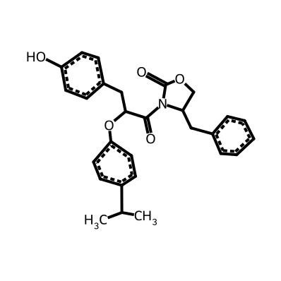 CC(C)c1ccc(OC(Cc2ccc(O)cc2)C(=O)N2C(=O)OCC2Cc2ccccc2)cc1